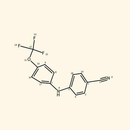 N#Cc1ccc(Nc2ccc(OC(F)(F)F)cc2)cc1